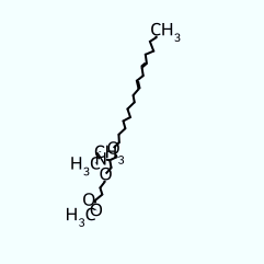 CCCCCC=CCC=CCCCCCCCCOCC(COCCCC(=O)OC)N(C)C